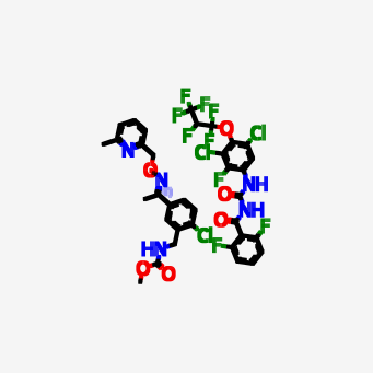 COC(=O)NCc1cc(/C(C)=N/OCc2cccc(C)n2)ccc1Cl.O=C(NC(=O)c1c(F)cccc1F)Nc1cc(Cl)c(OC(F)(F)C(F)C(F)(F)F)c(Cl)c1F